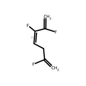 C=C(F)C/C=C(/F)C(=C)F